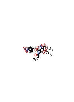 CCC1C(=O)N2C(C(=O)OCc3ccc([N+](=O)[O-])cc3)=C(c3noc(C(=O)OC)c3C(=O)OC)CC12